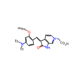 CCCCCCOc1cc(N(CC)CC)ccc1/C=C1\C(=O)Nc2c[n+](CC(=O)O)ccc21